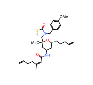 C=CCCC[C@@H]1C[C@@H](NC(=O)C=C(C)CCC=C)C[C@](OC)([C@@H]2CSC(=O)N2Cc2ccc(OC)cc2)O1